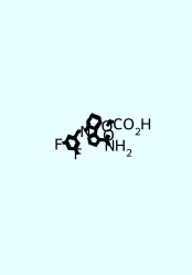 NC(=O)C1CCc2c1c1c(OCC(=O)O)cccc1n2Cc1cc(F)cc(F)c1